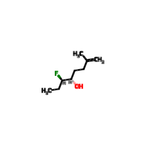 C=C(C)CC[C@H](O)[C@H](F)CC